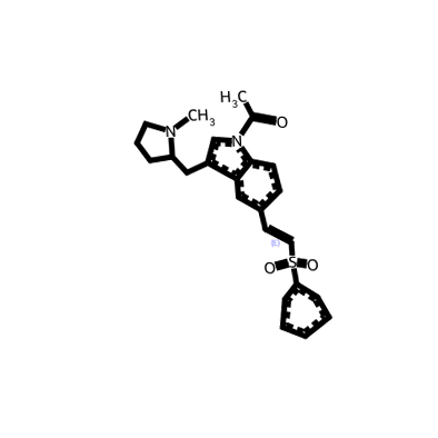 CC(=O)n1cc(CC2CCCN2C)c2cc(/C=C/S(=O)(=O)c3ccccc3)ccc21